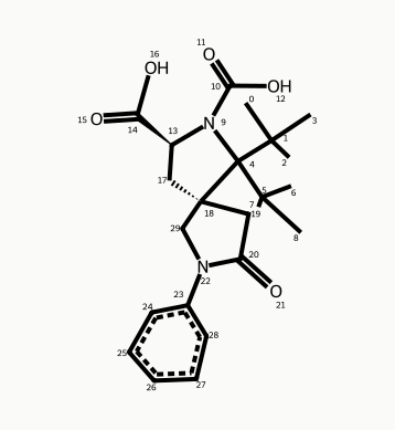 CC(C)(C)C1(C(C)(C)C)N(C(=O)O)[C@H](C(=O)O)C[C@@]12CC(=O)N(c1ccccc1)C2